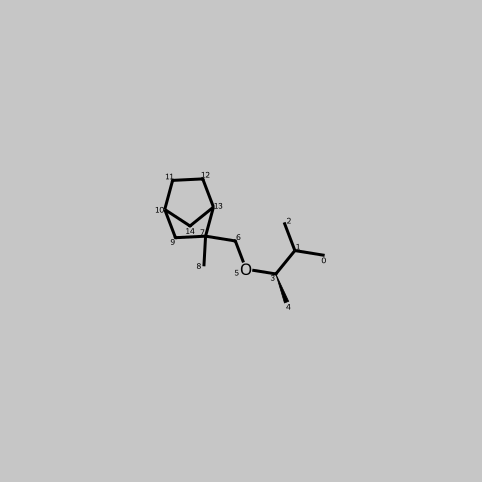 CC(C)[C@@H](C)OCC1(C)CC2CCC1C2